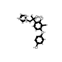 Cc1c(Oc2ccc(Cl)cc2)ccc(C(C)(O)Cn2cncn2)c1Cl